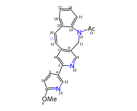 COc1ccc(-c2cc3c(cn2)CN(C(C)=O)c2ccccc2/C=C\3)cn1